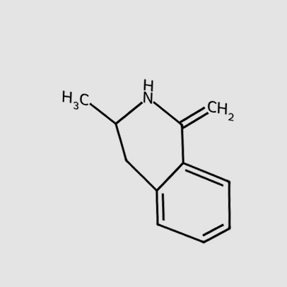 C=C1NC(C)Cc2ccccc21